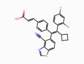 N#Cc1c(/C(=C(/c2ccc(F)cc2Cl)C2CCC2)c2ccc(/C=C/C(=O)O)cc2)ccc2scnc12